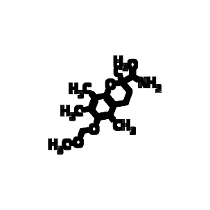 COCOc1c(C)c(C)c2c(c1C)CCC(C)(C(N)=O)O2